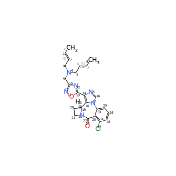 C/C=C/CN(C/C=C/C)Cc1noc(-c2ncn3c2[C@@H]2CCN2C(=O)c2c(Cl)cccc2-3)n1